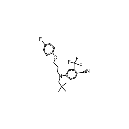 CC(C)(C)CN(CCCOc1ccc(F)cc1)c1ccc(C#N)c(C(F)(F)F)c1